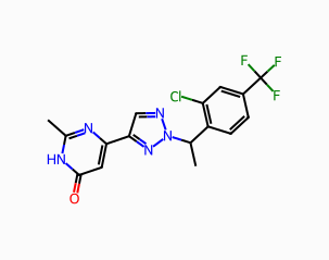 Cc1nc(-c2cnn(C(C)c3ccc(C(F)(F)F)cc3Cl)n2)cc(=O)[nH]1